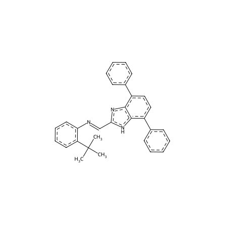 CC(C)(C)c1ccccc1/N=C/c1nc2c(-c3ccccc3)ccc(-c3ccccc3)c2[nH]1